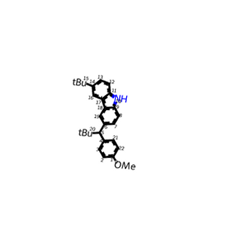 COc1ccc(C(c2ccc3[nH]c4ccc(C(C)(C)C)cc4c3c2)C(C)(C)C)cc1